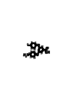 Cc1ccc(Oc2cc(Oc3ccc(N)cc3)cc(C(=O)O)c2)cc1